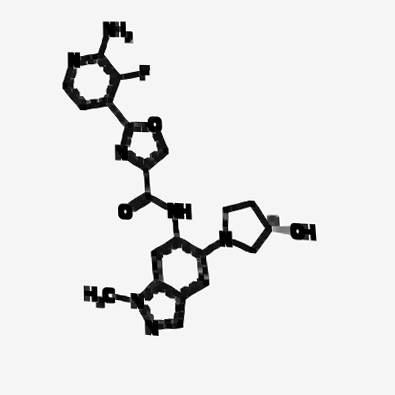 Cn1ncc2cc(N3CC[C@H](O)C3)c(NC(=O)c3coc(-c4ccnc(N)c4F)n3)cc21